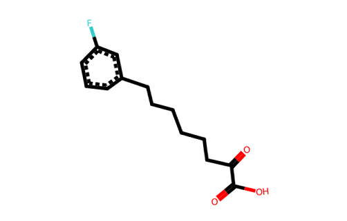 O=C(O)C(=O)CCCCCCc1cccc(F)c1